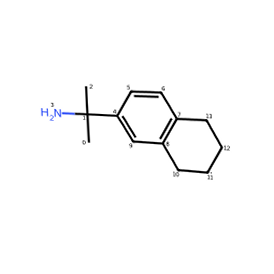 CC(C)(N)c1ccc2c(c1)C[CH]CC2